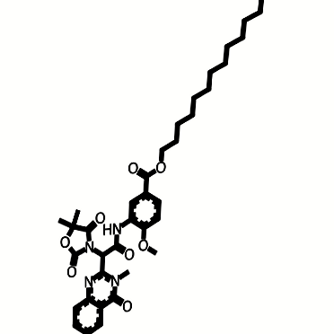 CCCCCCCCCCCCCCOC(=O)c1ccc(OC)c(NC(=O)C(c2nc3ccccc3c(=O)n2C)N2C(=O)OC(C)(C)C2=O)c1